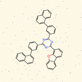 c1cc(-c2nc(-c3cccc(-c4cccc5ccccc45)c3)nc(-c3cccc4c3oc3ccccc34)n2)cc(-c2cccc3ccccc23)c1